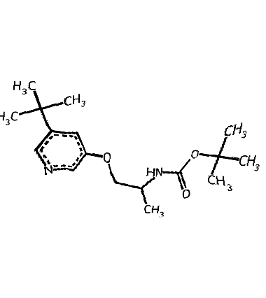 CC(COc1cncc(C(C)(C)C)c1)NC(=O)OC(C)(C)C